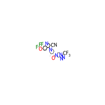 C[C@@H]1CN(c2c(C#N)cnc3c(F)c(OC(F)F)ccc23)CC[C@@H]1C(=O)N1CCn2c(nnc2C(F)(F)F)C1